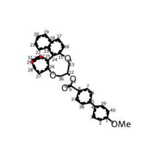 COc1ccc(-c2ccc(C(=O)OC3COc4ccc5ccccc5c4-c4c(ccc5ccccc45)OC3)cc2)cc1